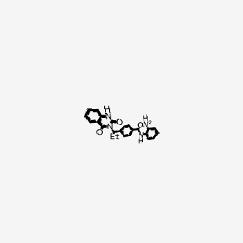 CCC(c1ccc(C(=O)Nc2ccccc2N)cc1)n1c(=O)[nH]c2ccccc2c1=O